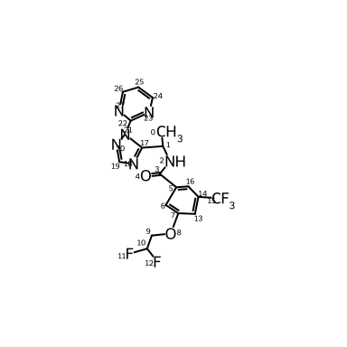 CC(NC(=O)c1cc(OCC(F)F)cc(C(F)(F)F)c1)c1ncnn1-c1ncccn1